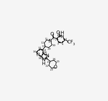 O=C(c1ccc(C(F)(F)F)[nH]c1=O)N1CCC(c2ccnc3[nH]c(C4CCOCC4)nc23)CC1